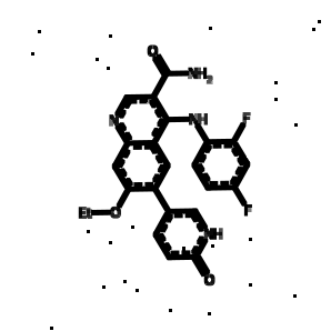 CCOc1cc2ncc(C(N)=O)c(Nc3ccc(F)cc3F)c2cc1-c1ccc(=O)[nH]c1